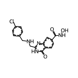 O=C(NO)c1ccc2c(=O)[nH]c(CNCc3ccc(Cl)cc3)nc2c1